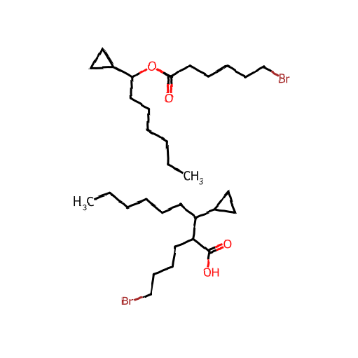 CCCCCCC(C1CC1)C(CCCCBr)C(=O)O.CCCCCCC(OC(=O)CCCCCBr)C1CC1